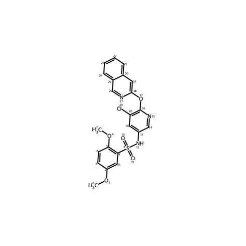 COc1ccc(OC)c(S(=O)(=O)Nc2cnc(Oc3cc4ccccc4cn3)c(Cl)c2)c1